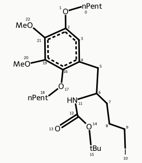 CCCCCOc1cc(CC(CCCI)NC(=O)OC(C)(C)C)c(OCCCCC)c(OC)c1OC